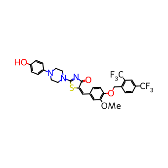 COc1cc(C=C2SC(N3CCN(c4ccc(O)cc4)CC3)=NC2=O)ccc1OCc1ccc(C(F)(F)F)cc1C(F)(F)F